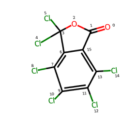 O=C1OC(Cl)(Cl)c2c(Cl)c(Cl)c(Cl)c(Cl)c21